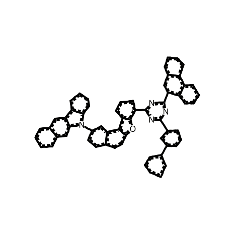 c1ccc(-c2cccc(-c3nc(-c4cc5ccccc5c5ccccc45)nc(-c4cccc5c4oc4ccc6ccc(-n7c8ccccc8c8cc9ccccc9cc87)cc6c45)n3)c2)cc1